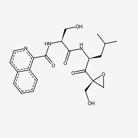 CC(C)C[C@H](NC(=O)[C@H](CO)NC(=O)c1nccc2ccccc12)C(=O)[C@@]1(CO)CO1